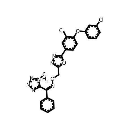 Cn1nnnc1/C(=N\OCc1nnc(-c2ccc(Oc3cccc(Cl)c3)c(Cl)c2)o1)c1ccccc1